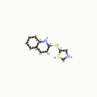 c1ccc2nc(Sc3cncs3)ccc2c1